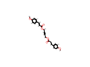 COc1ccc(C=CC(=O)OCC#CCOC(=O)C=Cc2ccc(OC)cc2)cc1